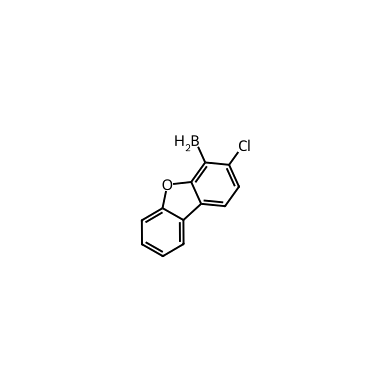 Bc1c(Cl)ccc2c1oc1ccccc12